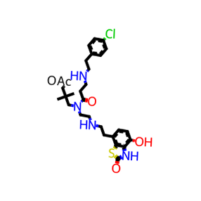 CC(=O)OCC(C)(C)CN(CCNCCc1ccc(O)c2[nH]c(=O)sc12)C(=O)CCNCCc1ccc(Cl)cc1